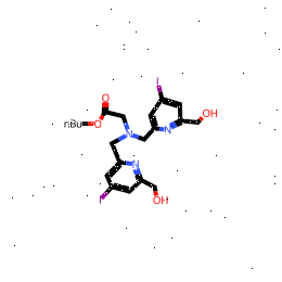 CCCCOC(=O)CN(Cc1cc(I)cc(CO)n1)Cc1cc(I)cc(CO)n1